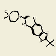 CC(C)(C)c1nc2cc(Cl)c(NC(=S)N3CC[N+](C)([O-])CC3)cc2s1